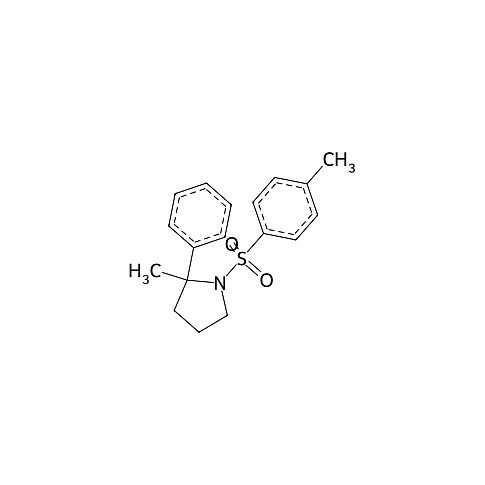 Cc1ccc(S(=O)(=O)N2CCCC2(C)c2ccccc2)cc1